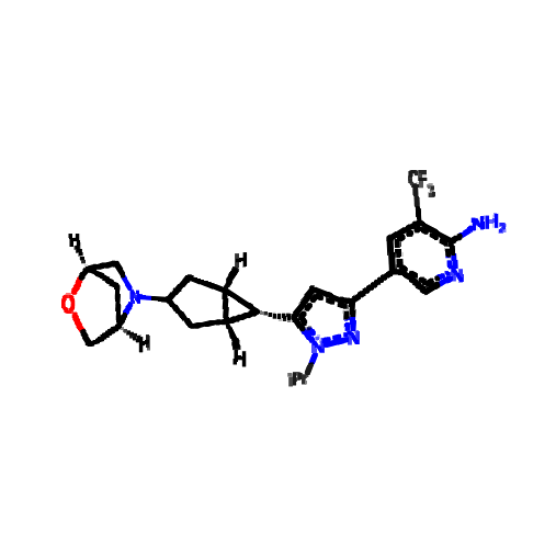 CC(C)n1nc(-c2cnc(N)c(C(F)(F)F)c2)cc1[C@@H]1[C@@H]2CC(N3C[C@H]4C[C@@H]3CO4)C[C@@H]21